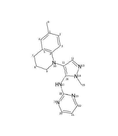 Cc1ccc2c(c1)CCCN2c1cnn(C)c1Nc1ncccn1